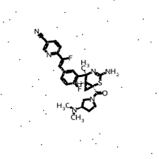 CN(C)[C@@H]1CCN(C(=O)[C@]23C[C@H]2[C@@](C)(c2cc(C=C(F)c4ccc(C#N)cn4)ccc2F)N=C(N)S3)C1